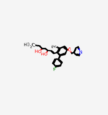 CC(C)c1cc(OCc2ccncc2)cc(-c2ccc(F)cc2)c1C=CC(O)CC(O)CC(=O)O